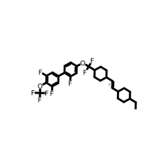 CCC1CCC(/C=C/C2CCC(C(F)(F)Oc3ccc(-c4cc(F)c(OC(F)(F)F)c(F)c4)c(F)c3)CC2)CC1